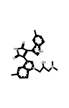 Cc1ccc2[nH]cc(C3=C(c4cn(CC(O)CN(C)C)c5ccc(C)cc45)C(=O)NC3=O)c2c1